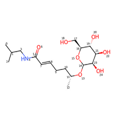 CC(C)CNC(=O)/C=C/CC[C@@H](C)OC1O[C@@H](CO)[C@H](O)[C@@H](O)[C@H]1O